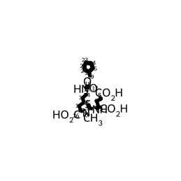 CN(C(=S)NC(CCC(=O)O)C(=O)O)C(CCCCNC(=O)OCc1ccccc1)C(=O)O